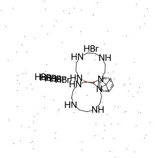 Br.Br.Br.Br.Br.Br.c1cc2cc(c1)C2(N1CCNCCNCCNCC1)N1CCNCCNCCNCC1